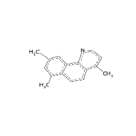 Cc1cc(C)c2ccc3c(C)ccnc3c2c1